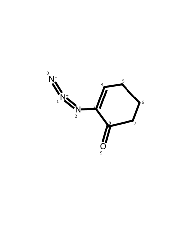 [N-]=[N+]=NC1=CCCCC1=O